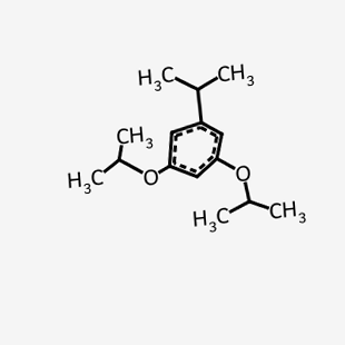 CC(C)Oc1cc(OC(C)C)cc(C(C)C)c1